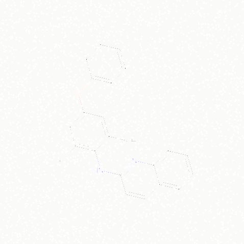 Cc1cc(Oc2ccccc2)cc(C)c1Nc1ccc2ccccc2n1